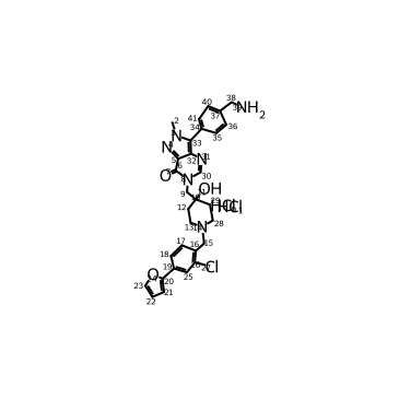 Cl.Cl.Cn1nc2c(=O)n(CC3(O)CCN(Cc4ccc(-c5ccco5)cc4Cl)CC3)cnc2c1-c1ccc(CN)cc1